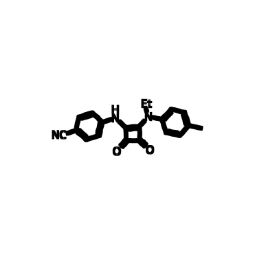 CCN(c1ccc(C)cc1)c1c(Nc2ccc(C#N)cc2)c(=O)c1=O